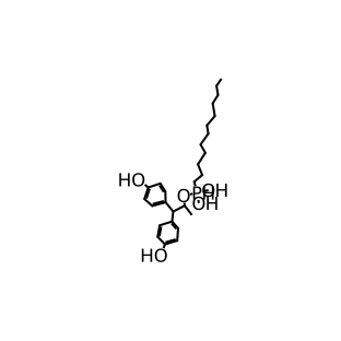 CCCCCCCCCCCC[PH](O)(O)OC(C)C(c1ccc(O)cc1)c1ccc(O)cc1